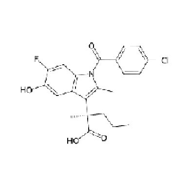 CCC[C@@](C)(C(=O)O)c1c(C)n(C(=O)c2ccc(Cl)cc2)c2cc(F)c(O)cc12